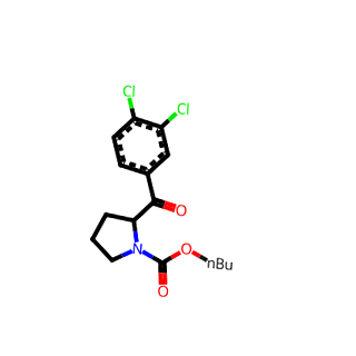 CCCCOC(=O)N1CCCC1C(=O)c1ccc(Cl)c(Cl)c1